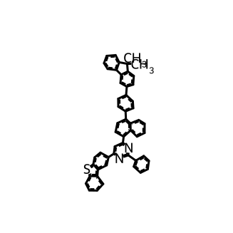 CC1(C)c2ccccc2-c2cc(-c3ccc(-c4ccc(-c5cc(-c6ccc7sc8ccccc8c7c6)nc(-c6ccccc6)n5)c5ccccc45)cc3)ccc21